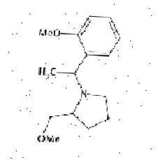 COCC1CCCN1C(C)c1ccccc1OC